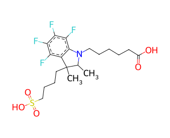 CC1N(CCCCCC(=O)O)c2c(F)c(F)c(F)c(F)c2C1(C)CCCCS(=O)(=O)O